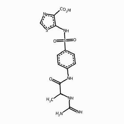 CC(NC(=N)N)C(=O)Nc1ccc(S(=O)(=O)Nc2scnc2C(=O)O)cc1